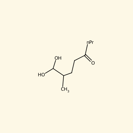 CCCC(=O)CCC(C)C(O)O